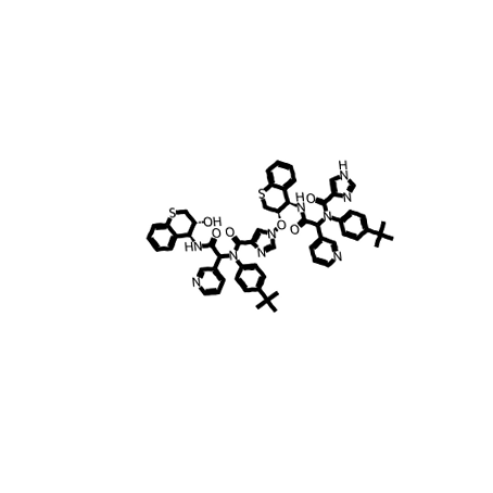 CC(C)(C)c1ccc(N(C(=O)c2c[nH]cn2)C(C(=O)N[C@@H]2c3ccccc3SC[C@H]2On2cnc(C(=O)N(c3ccc(C(C)(C)C)cc3)C(C(=O)N[C@H]3c4ccccc4SC[C@@H]3O)c3cccnc3)c2)c2cccnc2)cc1